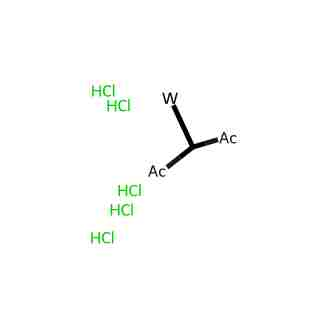 CC(=O)[CH]([W])C(C)=O.Cl.Cl.Cl.Cl.Cl